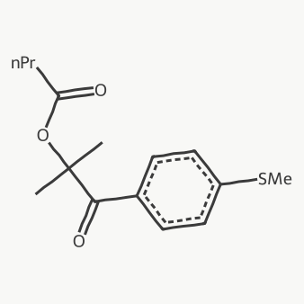 CCCC(=O)OC(C)(C)C(=O)c1ccc(SC)cc1